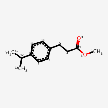 COC(=O)CCc1ccc(C(C)C)cc1